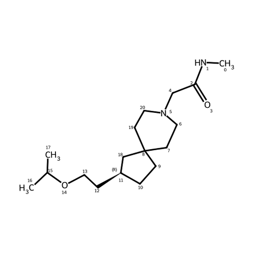 CNC(=O)CN1CCC2(CC[C@@H](CCOC(C)C)C2)CC1